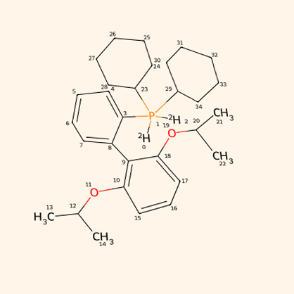 [2H]P([2H])(c1ccccc1-c1c(OC(C)C)cccc1OC(C)C)(C1CCCCC1)C1CCCCC1